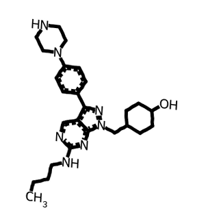 CCCCNc1ncc2c(-c3ccc(N4CCNCC4)cc3)nn(CC3CCC(O)CC3)c2n1